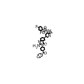 COc1ncc(-c2ccc3nc(N)n(-c4ccc(C(=O)N5CCOCC5)cc4)c(=O)c3c2)cc1NS(=O)(=O)c1ccc(F)cc1F